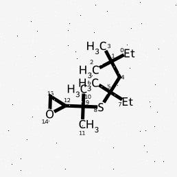 CCC(C)(C)CC(C)(CC)SC(C)(C)C1CO1